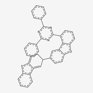 C1=c2sc3ccccc3c2=CC(c2ccc3oc4cccc(-c5nc(-c6ccccc6)nc(-c6ccccc6)n5)c4c3c2)C1